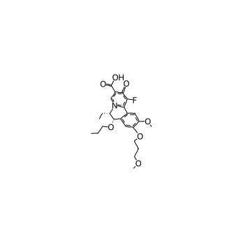 CCCO[C@H]1c2cc(OCCCOC)c(OC)cc2-c2c(F)c(=O)c(C(=O)O)cn2[C@H]1CC